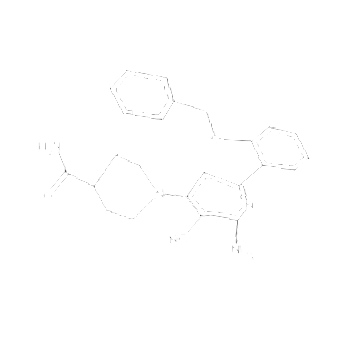 N#Cc1c(N2CCC(C(N)=O)CC2)cc(-c2ccccc2OCc2ccccc2)nc1N